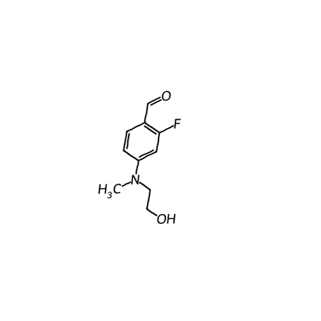 CN(CCO)c1ccc(C=O)c(F)c1